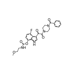 COCCNC(=O)Oc1ccc(F)c2c(C(=O)C(=O)N3CCN(C(=O)c4ccccc4)CC3)c[nH]c12